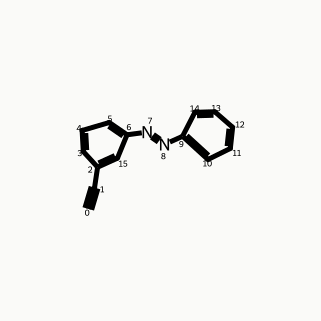 C#Cc1cccc(N=Nc2ccccc2)c1